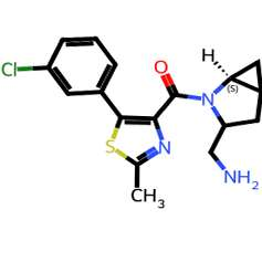 Cc1nc(C(=O)N2C(CN)CC3C[C@@H]32)c(-c2cccc(Cl)c2)s1